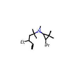 C=CC(CC)CC(C)(C)N(C)C1C(C(C)C)C1(C)C